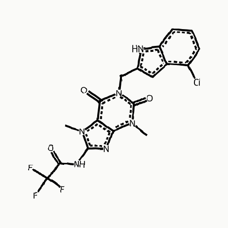 Cn1c(NC(=O)C(F)(F)F)nc2c1c(=O)n(Cc1cc3c(Cl)cccc3[nH]1)c(=O)n2C